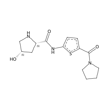 O=C(Nc1ccc(C(=O)N2CCCC2)s1)[C@@H]1C[C@H](O)CN1